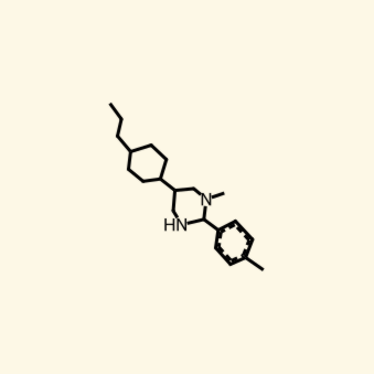 CCCC1CCC(C2CNC(c3ccc(C)cc3)N(C)C2)CC1